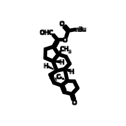 CCCCC(=O)O/C(C=O)=C1/CC[C@H]2[C@@H]3CCC4=CC(=O)CC[C@]4(C)[C@H]3CC[C@]12C